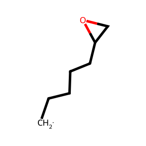 [CH2]CCCCC1CO1